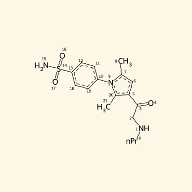 CCCNCC(=O)c1cc(C)n(-c2ccc(S(N)(=O)=O)cc2)c1C